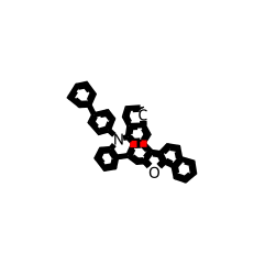 c1ccc(-c2ccc(N(c3ccccc3-c3ccc4c(c3)oc3c5ccccc5ccc43)c3cccc4ccccc34)cc2)cc1